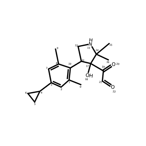 Cc1cc(C2CC2)cc(C)c1C1CNC(C)(C)C1(O)C(=O)C=O